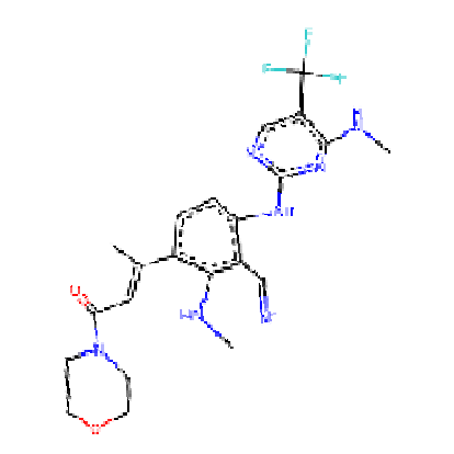 CNc1nc(Nc2ccc(/C(C)=C/C(=O)N3CCOCC3)c(NC)c2C=N)ncc1C(F)(F)F